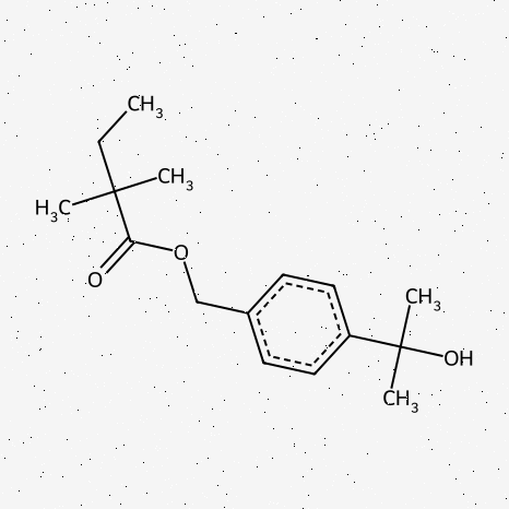 CCC(C)(C)C(=O)OCc1ccc(C(C)(C)O)cc1